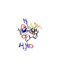 COc1ccccc1-c1cc(OC2CCN(C(=O)C(C#N)C(SCP)C(C)(C)C)CC2)cc(C(N)=O)c1